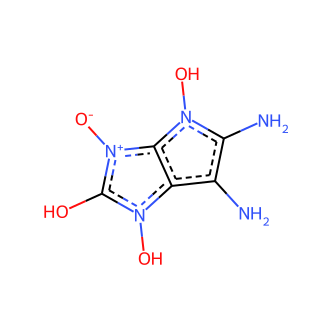 Nc1c(N)n(O)c2c1n(O)c(O)[n+]2[O-]